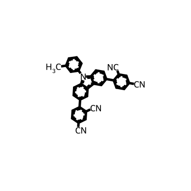 Cc1cccc(-n2c3ccc(-c4ccc(C#N)cc4C#N)cc3c3cc(-c4ccc(C#N)cc4C#N)ccc32)c1